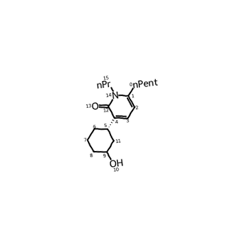 CCCCCc1ccc([C@H]2CCCC(O)C2)c(=O)n1CCC